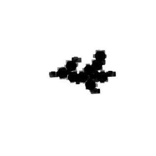 CC(C)(C)c1ccc(Nc2cc3sc4ccc(N(c5ccc(C(C)(C)C)cc5)c5ccc(C(C)(C)C)cc5)cc4c3cc2-c2ccc3c4cc5c(cc4n4c3c2Bc2oc3ccc(C(C)(C)C)cc3c2-4)oc2ccccc25)cc1